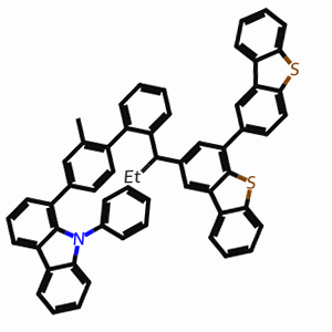 CCC(c1cc(-c2ccc3sc4ccccc4c3c2)c2sc3ccccc3c2c1)c1ccccc1-c1ccc(-c2cccc3c4ccccc4n(-c4ccccc4)c23)cc1C